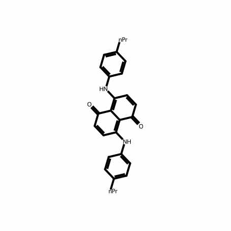 CCCc1ccc(NC2=C3C(=O)C=CC(Nc4ccc(CCC)cc4)=C3C(=O)C=C2)cc1